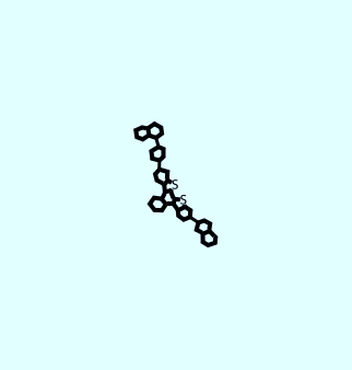 c1ccc2cc(-c3ccc4c(c3)sc3c5sc6cc(-c7ccc(-c8cccc9ccccc89)cc7)ccc6c5c5ccccc5c43)ccc2c1